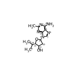 Cc1nc(N)c2ncn([C@H]3CC(O)[C@@H](C(C)C)O3)c2n1